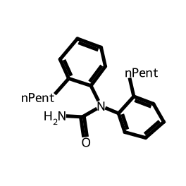 CCCCCc1ccccc1N(C(N)=O)c1ccccc1CCCCC